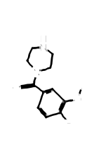 O=C(c1ccc(F)c(OC(F)(F)F)c1)N1CCNCC1